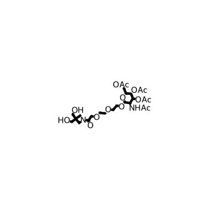 CC(=O)NC1C(OCCOCCOCC(=O)N2CC(CO)(CO)C2)OC(COC(C)=O)C(OC(C)=O)C1OC(C)=O